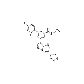 Cn1cc(-c2cnc3c(-c4cc(NSC5CC5)cc(-c5ccc(F)cc5F)c4)cnn3c2)cn1